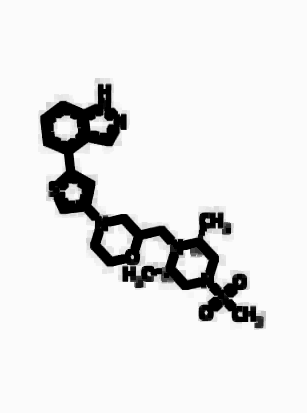 C[C@@H]1CN(S(C)(=O)=O)C[C@H](C)N1CC1CN(c2csc(-c3cccc4[nH]ncc34)c2)CCO1